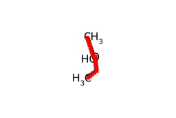 CCCCCCCC/C=C\CCCCCCCCC1(O)OC1CCCCCCCCCCCCCCCC